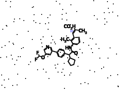 C/C(=C\c1cccc(NC(=O)C(c2ccc(-c3cncc(OC(F)F)c3)cc2)C2CCCC2)c1C)C(=O)O